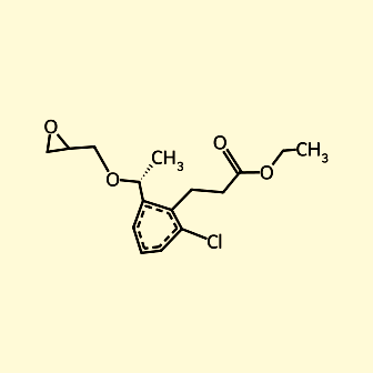 CCOC(=O)CCc1c(Cl)cccc1[C@@H](C)OCC1CO1